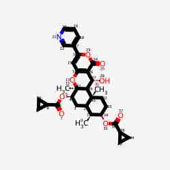 C[C@@H]1C2C[C@H](OC(=O)C3CC3)[C@@]3(C)Oc4cc(-c5cccnc5)oc(=O)c4[C@H](O)C3[C@@]2(C)CC[C@@H]1OC(=O)C1CC1